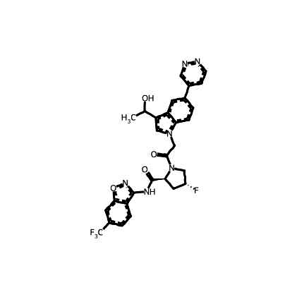 CC(O)c1cn(CC(=O)N2C[C@H](F)C[C@H]2C(=O)Nc2noc3cc(C(F)(F)F)ccc23)c2ccc(-c3ccnnc3)cc12